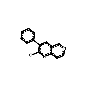 Clc1nc2ccncc2cc1-c1ccccc1